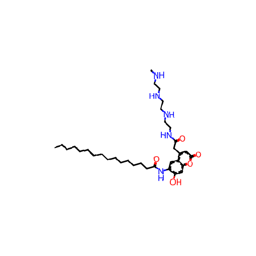 CCCCCCCCCCCCCCCC(=O)Nc1cc2c(CC(=O)NCCNCCNCCNC)cc(=O)oc2cc1O